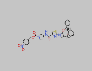 CC(C)(C)C1CN(c2nc(C(=O)N[C@@H]3CCN(C(=O)OCc4ccc([N+](=O)[O-])cc4)C3)cs2)C1O[SiH](c1ccccc1)c1ccccc1